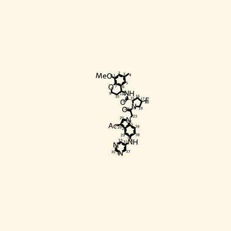 COc1cc(C)cc2c1OCCC2NC(=O)[C@@H]1C[C@@H](F)CN1C(=O)Cn1cc(C(C)=O)c2cc(Nc3cncnc3)ccc21